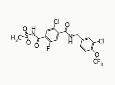 CS(=O)(=O)NC(=O)c1cc(Cl)c(C(=O)NCc2ccc(OC(F)(F)F)c(Cl)c2)cc1F